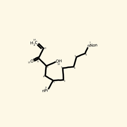 [CH2]CCC(CCCCCCCCCCCCCC)CC(O)C(=O)C=C